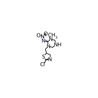 CN1CNCN(CC2CN=C(Cl)S2)/C1=N/[N+](=O)[O-]